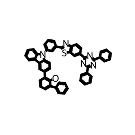 c1ccc(-c2nc(-c3ccccc3)nc(-c3ccc4nc(-c5cccc(-n6c7ccccc7c7cc(-c8cccc9c8oc8ccccc89)ccc76)c5)sc4c3)n2)cc1